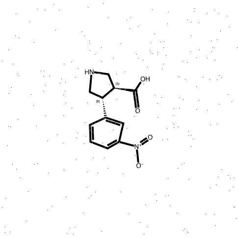 O=C(O)[C@@H]1CNC[C@H]1c1cccc([N+](=O)[O-])c1